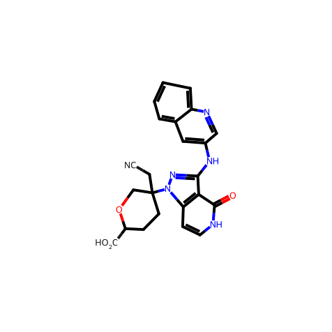 N#CCC1(n2nc(Nc3cnc4ccccc4c3)c3c(=O)[nH]ccc32)CCC(C(=O)O)OC1